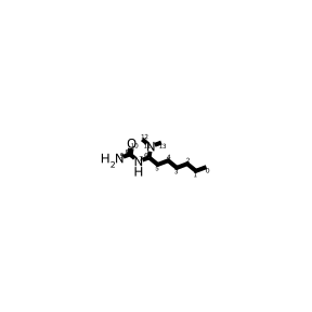 CCCCCCC(NC(N)=O)N(C)C